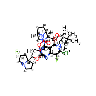 CC(C)(C)OC(=O)N1[C@@H]2CC[C@H]1[C@@H](CO[Si](C)(C)C(C)(C)C)N(c1nc(OC[C@@]34CCCN3C[C@H](F)C4)nc3c(F)c(Cl)nc(Br)c13)C2